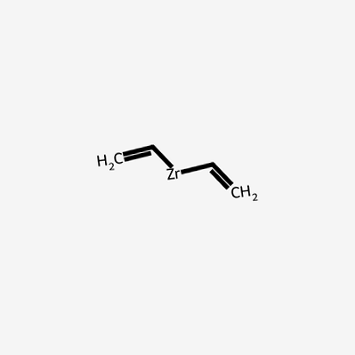 C=[CH][Zr][CH]=C